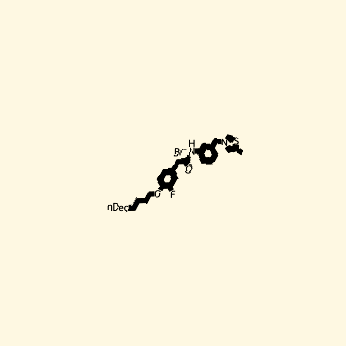 CCCCCCCCCCCCCCOc1ccc(CC(=O)Nc2cccc(C[n+]3csc(C)c3)c2)cc1F.[Br-]